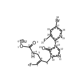 CC(C)(C)OC(=O)NC/C(=C\F)Cn1ncn(-c2ncc(Br)cc2F)c1=O